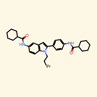 CC(C)CCn1c(-c2ccc(NC(=O)C3CCCCC3)cc2)cc2cc(NC(=O)C3CCCCC3)ccc21